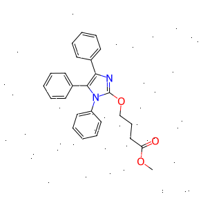 COC(=O)CCCOc1nc(-c2ccccc2)c(-c2ccccc2)n1-c1ccccc1